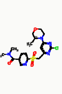 C[C@H]1COCCN1c1cc(CS(=O)(=O)c2ccc(C(=O)N(C)C)cn2)nc(Cl)n1